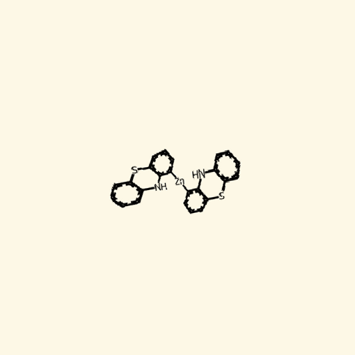 c1ccc2c(c1)Nc1c(ccc[c]1[Zn][c]1cccc3c1Nc1ccccc1S3)S2